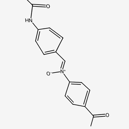 CC(=O)Nc1ccc(C=[N+]([O-])c2ccc(C(C)=O)cc2)cc1